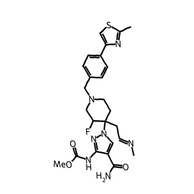 C/N=C/CC1(n2cc(C(N)=O)c(NC(=O)OC)n2)CCN(Cc2ccc(-c3csc(C)n3)cc2)CC1F